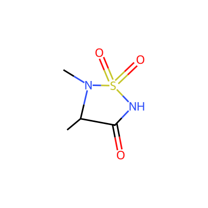 CC1C(=O)NS(=O)(=O)N1C